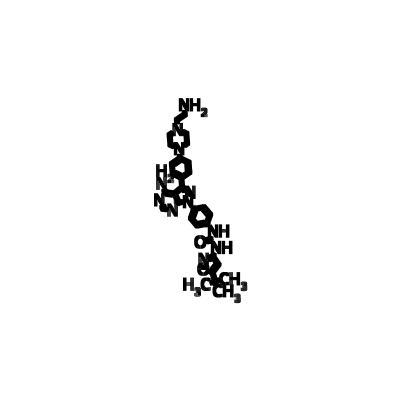 CC(C)(C)c1cc(NC(=O)Nc2ccc(-n3nc(-c4ccc(N5CCN(CCN)CC5)cc4)c4c(N)ncnc43)cc2)no1